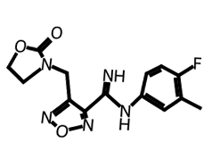 Cc1cc(NC(=N)c2nonc2CN2CCOC2=O)ccc1F